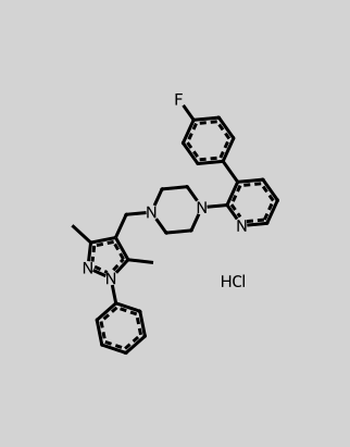 Cc1nn(-c2ccccc2)c(C)c1CN1CCN(c2ncccc2-c2ccc(F)cc2)CC1.Cl